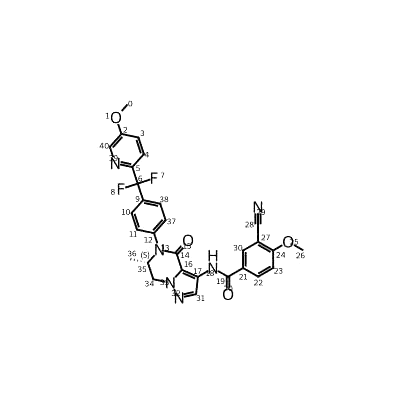 COc1ccc(C(F)(F)c2ccc(N3C(=O)c4c(NC(=O)c5ccc(OC)c(C#N)c5)cnn4C[C@@H]3C)cc2)nc1